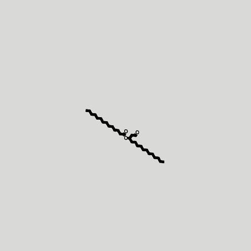 CCCCCCCCCCCCCC(=O)OC(CC=O)CCCCCCCCCCCC